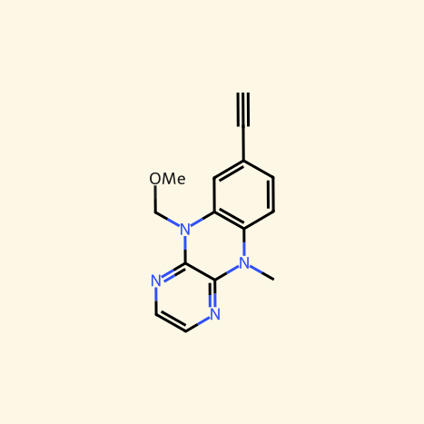 C#Cc1ccc2c(c1)N(COC)c1nccnc1N2C